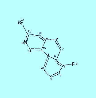 Fc1cccc2c1ccc1cc(Br)ncc12